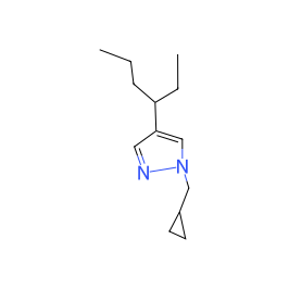 CCCC(CC)c1cnn(CC2CC2)c1